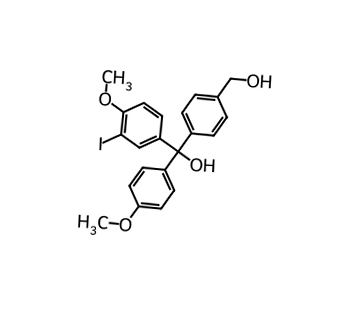 COc1ccc(C(O)(c2ccc(CO)cc2)c2ccc(OC)c(I)c2)cc1